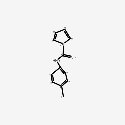 Cc1ccc(NC(=O)n2cccc2)cc1